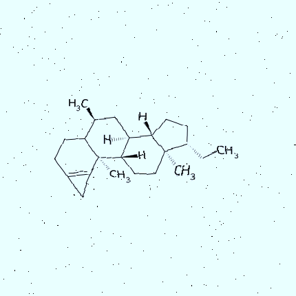 CC[C@H]1CC[C@H]2[C@@H]3C[C@H](C)C4CCC5=C(C5)[C@]4(C)[C@H]3CC[C@]12C